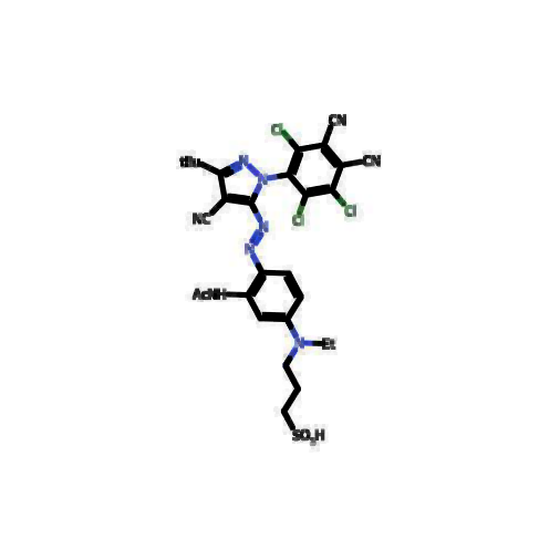 CCN(CCCS(=O)(=O)O)c1ccc(/N=N/c2c(C#N)c(C(C)(C)C)nn2-c2c(Cl)c(Cl)c(C#N)c(C#N)c2Cl)c(NC(C)=O)c1